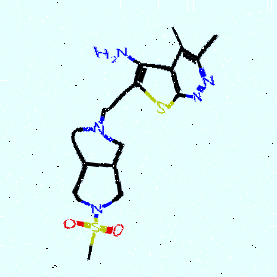 Cc1nnc2sc(CN3CC4CN(S(C)(=O)=O)CC4C3)c(N)c2c1C